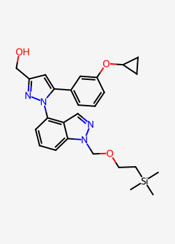 C[Si](C)(C)CCOCn1ncc2c(-n3nc(CO)cc3-c3cccc(OC4CC4)c3)cccc21